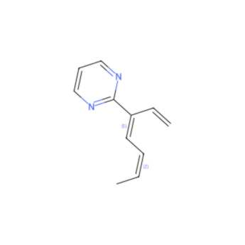 C=C/C(=C\C=C/C)c1ncccn1